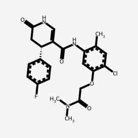 Cc1cc(Cl)c(OCC(=O)N(C)C)cc1NC(=O)C1=CNC(=O)C[C@H]1c1ccc(F)cc1